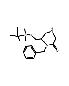 CC(C)(C)[Si](C)(C)OCC1CNCC(=O)N1Cc1ccccc1